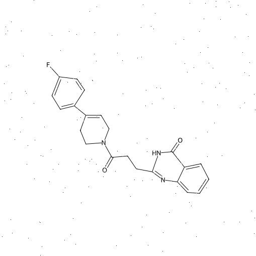 O=C(CCc1nc2ccccc2c(=O)[nH]1)N1CC=C(c2ccc(F)cc2)CC1